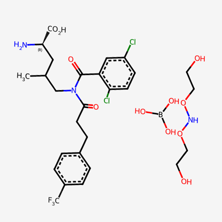 CC(C[C@@H](N)C(=O)O)CN(C(=O)CCc1ccc(C(F)(F)F)cc1)C(=O)c1cc(Cl)ccc1Cl.OB(O)O.OCCONOCCO